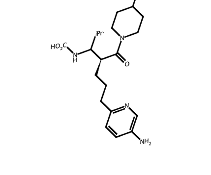 C[C](C)C(NC(=O)O)[C@H](CCCc1ccc(N)cn1)C(=O)N1CCC(C)CC1